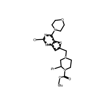 CC(C)C1CN(Cc2cc3nc(Cl)nc(N4CCOCC4)c3s2)CCN1C(=O)OC(C)(C)C